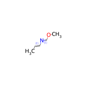 C/C=C/N=C/OC